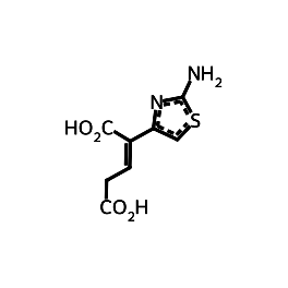 Nc1nc(/C(=C/CC(=O)O)C(=O)O)cs1